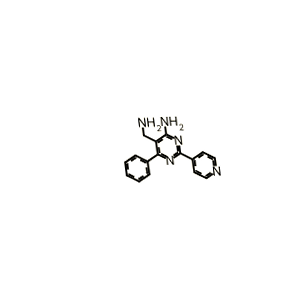 NCc1c(N)nc(-c2ccncc2)nc1-c1ccccc1